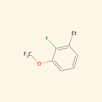 CCc1cccc(OC(F)(F)F)c1F